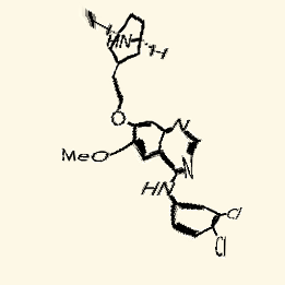 COc1cc2c(Nc3ccc(Cl)c(Cl)c3)ncnc2cc1OCC[C@H]1C[C@H]2CC[C@@H](C1)N2